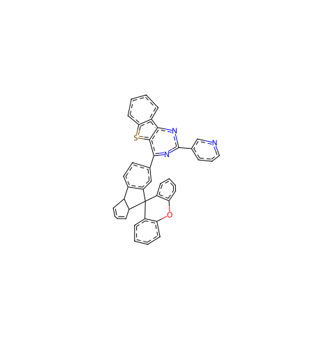 C1=CC2c3ccc(-c4nc(-c5cccnc5)nc5c4sc4ccccc45)cc3C3(c4ccccc4Oc4ccccc43)C2C=C1